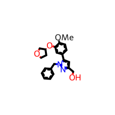 COc1ccc(-c2cc(CO)nn2Cc2ccccc2)cc1O[C@@H]1CCOC1